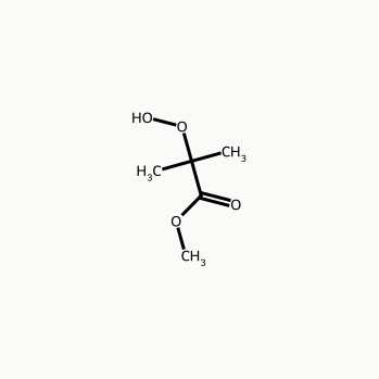 COC(=O)C(C)(C)OO